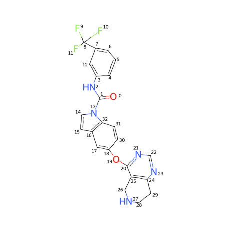 O=C(Nc1cccc(C(F)(F)F)c1)n1ccc2cc(Oc3ncnc4c3CNCC4)ccc21